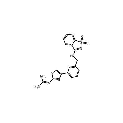 NC(N)=Nc1nc(-c2cccc(CNC3=NS(=O)(=O)c4ccccc43)n2)cs1